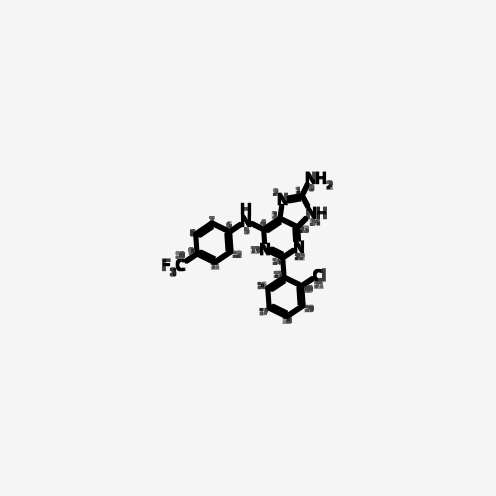 Nc1nc2c(Nc3ccc(C(F)(F)F)cc3)nc(-c3ccccc3Cl)nc2[nH]1